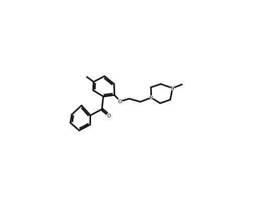 Cc1ccc(OCCN2CCN(C)CC2)c(C(=O)c2ccccc2)c1